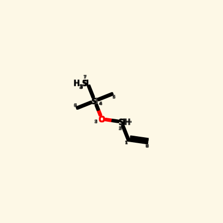 C=C[SiH]O[Si](C)(C)[SiH3]